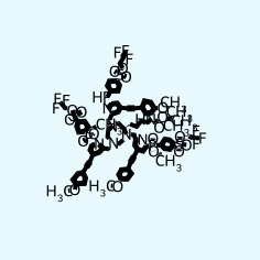 CCOP(=O)(c1ccc(S(=O)(=O)OCC(F)(F)F)cc1)c1cc(C#Cc2ccc(OC)cc2)cc(CN2CCN(Cc3cc(C#Cc4ccc(OC)cc4)cc(Pc4ccc(S(=O)(=O)OCC(F)(F)F)cc4)n3)C[C@H](CCCCNC(=O)OC(C)(C)C)N(Cc3cc(C#Cc4ccc(OC)cc4)cc(P(=O)(OCC)c4ccc(S(=O)(=O)OCC(F)(F)F)cc4)n3)CC2)n1